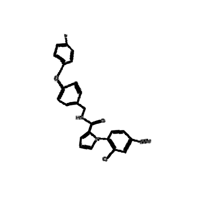 CNc1ccc(-n2cccc2C(=O)NCc2ccc(Oc3ccc(F)cc3)cc2)c(Cl)c1